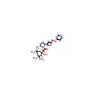 CC1(C)CC(C)(C)CC(O)(C(F)(F)C(=O)N2CCC[C@H]2c2cc(COc3ccncn3)on2)C1